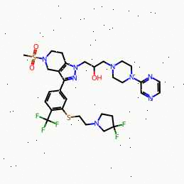 CS(=O)(=O)N1CCc2c(c(-c3ccc(C(F)(F)F)c(SCCN4CCC(F)(F)C4)c3)nn2CC(O)CN2CCN(c3cnccn3)CC2)C1